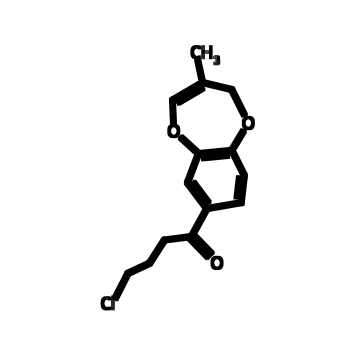 CC1=COc2cc(C(=O)CCCCl)ccc2OC1